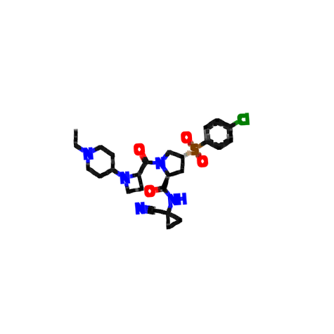 CCN1CCC(N2CCC2C(=O)N2C[C@H](S(=O)(=O)c3ccc(Cl)cc3)C[C@H]2C(=O)NC2(C#N)CC2)CC1